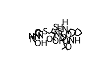 CC(C)(C)OC(=O)NCC1=C(CC(=O)NC2C(=O)N3C(C(=O)O)=C(CSc4ccc5nnc(O)n5n4)CS[C@@H]23)CCCC1